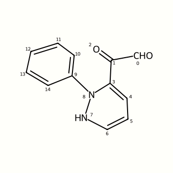 O=CC(=O)C1=CC=CNN1c1ccccc1